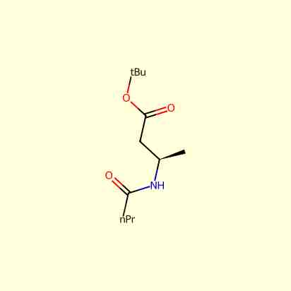 CCCC(=O)N[C@H](C)CC(=O)OC(C)(C)C